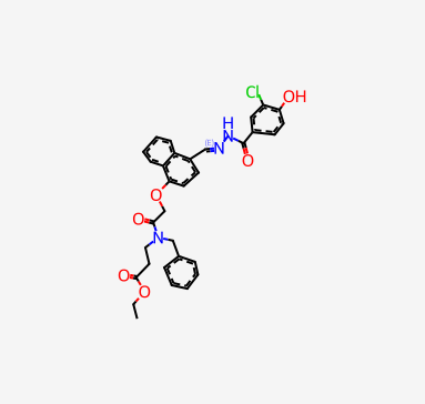 CCOC(=O)CCN(Cc1ccccc1)C(=O)COc1ccc(/C=N/NC(=O)c2ccc(O)c(Cl)c2)c2ccccc12